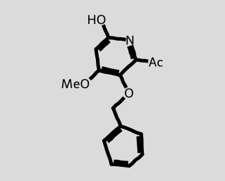 COc1cc(O)nc(C(C)=O)c1OCc1ccccc1